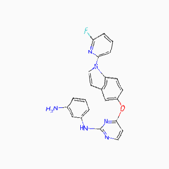 Nc1cccc(Nc2nccc(Oc3ccc4c(ccn4-c4cccc(F)n4)c3)n2)c1